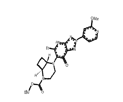 CCc1[nH]c2nn(-c3ccnc(OC)c3)nc2c(=O)c1N1CCN(C(=O)OC(C)(C)C)[C@H]2CC[C@@H]21